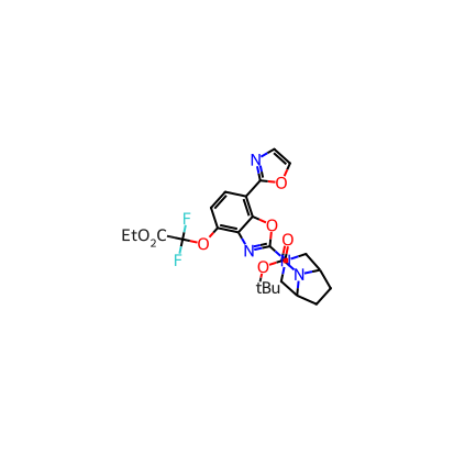 CCOC(=O)C(F)(F)Oc1ccc(-c2ncco2)c2oc(N3CC4CCC(C3)N4C(=O)OC(C)(C)C)nc12